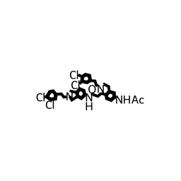 CC(=O)Nc1ccc2c(c1)CCN(CCc1ccc(Cl)c(Cl)c1)C2CC(=O)Nc1ccc2c(c1)CN(CCc1ccc(Cl)c(Cl)c1)C2